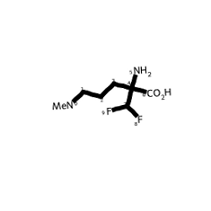 CNCCCC(N)(C(=O)O)C(F)F